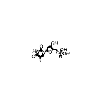 O=c1[nH]c(=O)n([C@H]2C[C@H](O)[C@@H](COP(=O)(O)O)O2)cc1I